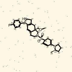 COC[C@]12CC3=C(C=C1CCN(S(=O)(=O)C1C=CC(N4CCC[C@H]4C)=CC1)C2)N(c1ccc(F)cc1)NC3